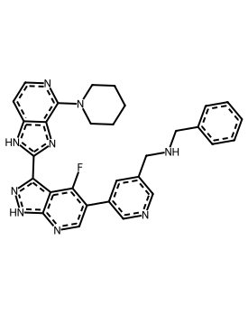 Fc1c(-c2cncc(CNCc3ccccc3)c2)cnc2[nH]nc(-c3nc4c(N5CCCCC5)nccc4[nH]3)c12